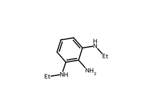 CCNc1cccc(NCC)c1N